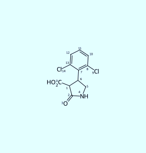 O=C(O)C1C(=O)NCC1c1c(Cl)cccc1Cl